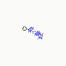 Cc1ncc(C)n2nc(CC(C)c3nc(-c4ccccc4)cn3C)nc12